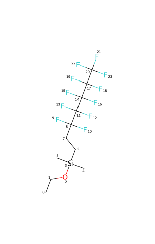 CCO[Si](C)(C)CCC(F)(F)C(F)(F)C(F)(F)C(F)(F)C(F)(F)F